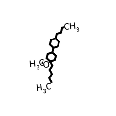 CCCCCCC1(OC)CCC(C2CCC(CCCC)CC2)CC1